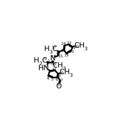 C=C(Nc1ccc(C=O)c(C)c1)/C(C)=N/C=C(\C)c1ccc(C)cc1